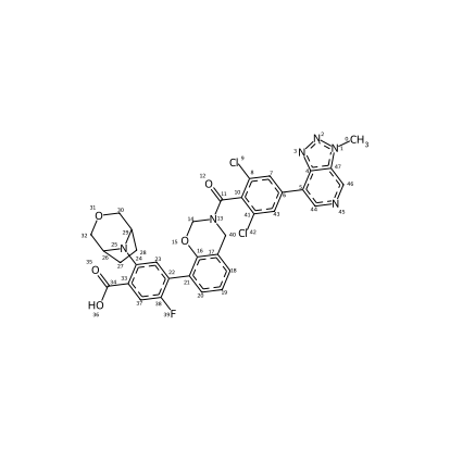 Cn1nnc2c(-c3cc(Cl)c(C(=O)N4COc5c(cccc5-c5cc(N6C7CCC6COC7)c(C(=O)O)cc5F)C4)c(Cl)c3)cncc21